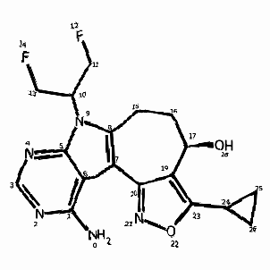 Nc1ncnc2c1c1c(n2C(CF)CF)CC[C@@H](O)c2c-1noc2C1CC1